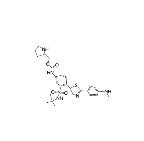 CNc1ccc(C2=NCC(c3ccc(NC(=O)OCC4CCCN4)cc3S(=O)(=O)NC(C)(C)C)S2)cc1